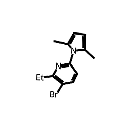 CCc1nc(-n2c(C)ccc2C)ccc1Br